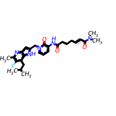 Cc1nc2cc(Cn3cccc(NC(=O)CCC/C=C/C(=O)N(C)C)c3=O)[nH]c2c(CC(C)C)c1F